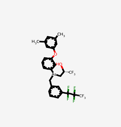 Cc1cc(C)cc(Oc2cccc([As](Cc3cccc(C(F)(F)C(F)(F)C(F)(F)F)c3)C[C@H](O)C(F)(F)F)c2)c1